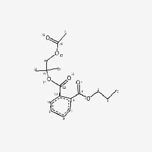 CCCOC(=O)c1ccccc1C(=O)OC(C)(C)COC(C)=O